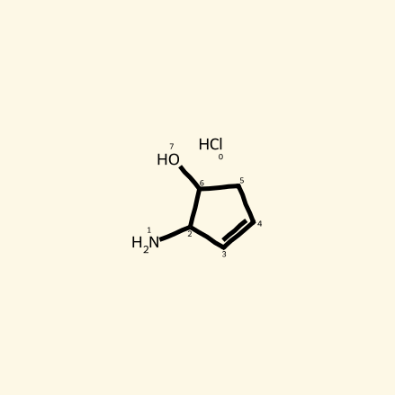 Cl.NC1C=CCC1O